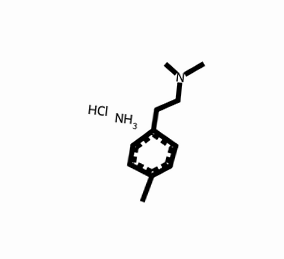 Cc1ccc(CCN(C)C)cc1.Cl.N